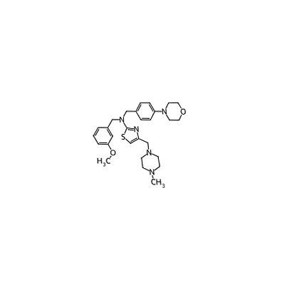 COc1cccc(CN(Cc2ccc(N3CCOCC3)cc2)c2nc(CN3CCN(C)CC3)cs2)c1